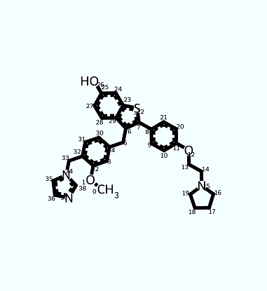 COc1cc(Cc2c(-c3ccc(OCCN4CCCC4)cc3)sc3cc(O)ccc23)ccc1Cn1ccnc1